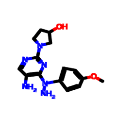 COc1ccc(N(N)c2nc(N3CCC(O)C3)ncc2N)cc1